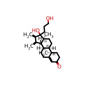 C=C1C(=C)C(O)(CCCO)[C@@]2(C)CC[C@@H]3[C@@H](CCC4=CC(=O)CC[C@@]43C)[C@H]12